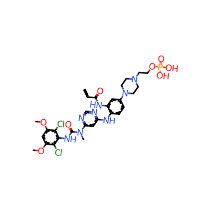 C=CC(=O)Nc1cc(N2CCN(CCOP(=O)(O)O)CC2)ccc1Nc1cc(N(C)C(=O)Nc2c(Cl)c(OC)cc(OC)c2Cl)ncn1